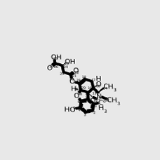 Cc1ccc(O)c2c1[C@]13CCN(C)[C@H](C)[C@]1(O)CC=C(OC(=O)C[C@@H](O)C(=O)O)[C@@H]3O2